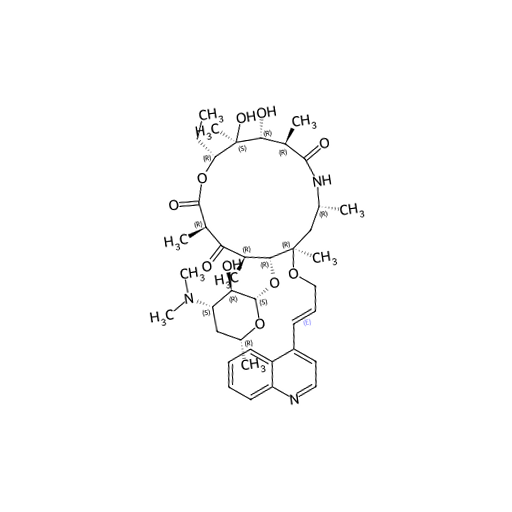 CC[C@H]1OC(=O)[C@H](C)C(=O)[C@H](C)[C@@H](O[C@@H]2O[C@H](C)C[C@H](N(C)C)[C@H]2O)[C@](C)(OC/C=C/c2ccnc3ccccc23)C[C@@H](C)NC(=O)[C@H](C)[C@@H](O)[C@]1(C)O